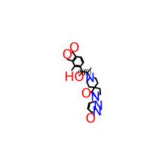 Cc1c([C@H](O)[C@@H](C)N2CCC3(CCN(c4ccc(=O)n(C)n4)C3=O)CC2)ccc2c1COC2=O